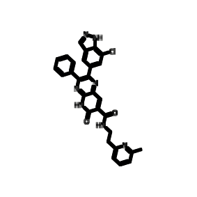 Cc1cccc(CCNC(=O)c2cc3nc(-c4cc(Cl)c5[nH]ncc5c4)c(-c4ccccc4)nc3[nH]c2=O)n1